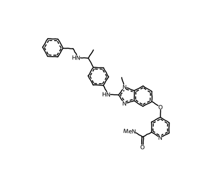 CNC(=O)c1cc(Oc2ccc3c(c2)nc(Nc2ccc(C(C)NCc4ccccc4)cc2)n3C)ccn1